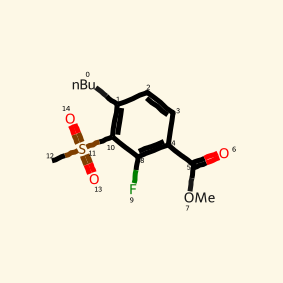 CCCCc1ccc(C(=O)OC)c(F)c1S(C)(=O)=O